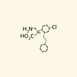 NC[C@H](CC(=O)O)c1ccc(Cl)cc1CCc1ccccc1